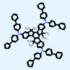 CC1(C)c2cc(N(c3ccc(-c4ccccc4)cc3)c3ccc(-c4ccccc4)cc3)ccc2-c2c1c1c(c3c2C(C)(C)c2cc(N(c4ccc(-c5ccccc5)cc4)c4ccc(-c5ccccc5)cc4)ccc2-3)C(C)(C)c2cc(N(c3ccc(-c4ccccc4)cc3)c3ccc(-c4ccccc4)cc3)ccc2-1